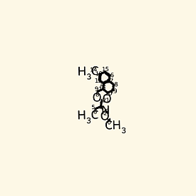 CCON=C(CC)C1OCC2c3cc(C)ccc3CCC2O1